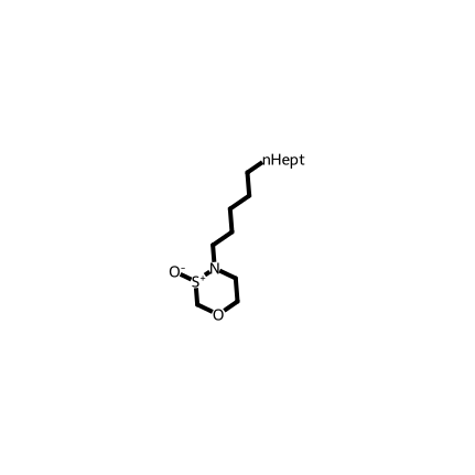 CCCCCCCCCCCCN1CCOC[S+]1[O-]